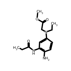 CCC(=O)Nc1cc(N(CC)CC(=O)OC)ccc1N